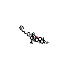 CC1(C)[C@@H](O)CC[C@]2(C)[C@H]3CC[C@@H]4[C@H]5[C@H](C6CC6)CC[C@]5(C(=O)N5CCN(CCCN6CCOCC6)CC5)CC[C@@]4(C)[C@]3(C)CC[C@@H]12